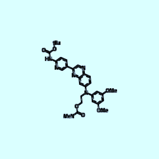 CNC(=O)OCCN(c1cc(OC)cc(OC)c1)c1ccc2ncc(-c3ccc(NC(=O)OC(C)(C)C)nc3)nc2c1